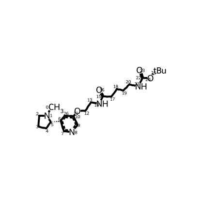 CN1CCC[C@H]1c1cncc(OCCNC(=O)CCCCNC(=O)OC(C)(C)C)c1